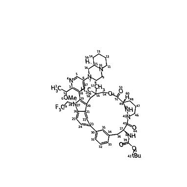 CO[C@@H](C)c1ncc(N2CCN3CCCC[C@@H]3C2)cc1-c1c2c3cc(ccc3n1CC(F)(F)F)-c1cccc(c1)C[C@H](NC(=O)OC(C)(C)C)C(=O)N1CCC[C@H](N1)C(=O)OCC(C)(C)C2